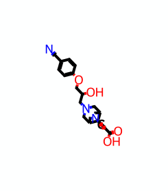 N#Cc1ccc(OCC(O)CN2CC3CN(C(=O)O)CC(C2)C32CCCCC2)cc1